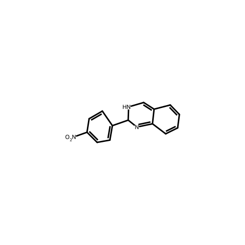 O=[N+]([O-])c1ccc(C2N=c3ccccc3=CN2)cc1